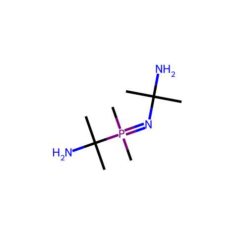 CC(C)(N)N=P(C)(C)C(C)(C)N